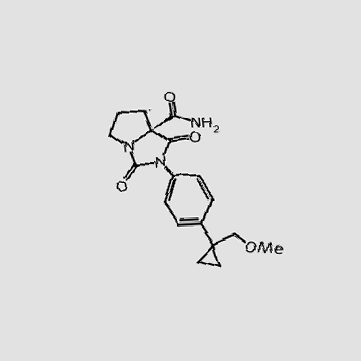 COCC1(c2ccc(N3C(=O)N4CC[CH][C@]4(C(N)=O)C3=O)cc2)CC1